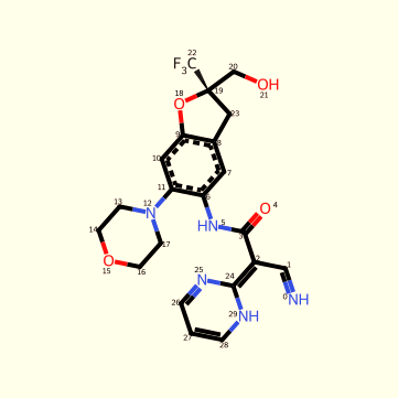 N=C/C(C(=O)Nc1cc2c(cc1N1CCOCC1)O[C@@](CO)(C(F)(F)F)C2)=C1/N=CC=CN1